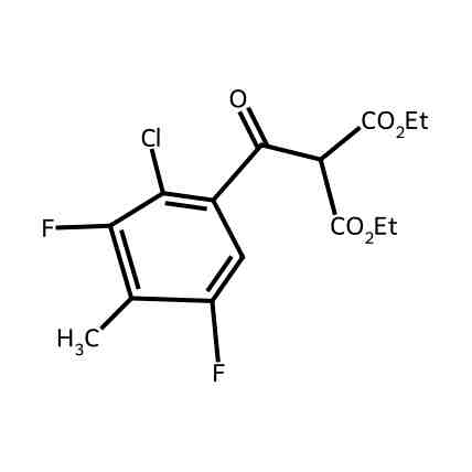 CCOC(=O)C(C(=O)OCC)C(=O)c1cc(F)c(C)c(F)c1Cl